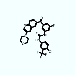 O=C(Nc1cc(F)cc(C(=O)c2ccc3ncc(N4CCOCC4)cc3c2)c1)Nc1ccc(Cl)c(C(F)(F)F)c1